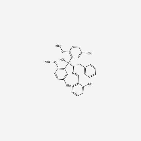 CCCCOc1ccc(C(C)(C)C)cc1C(O)(c1cc(C(C)(C)C)ccc1OCCCC)[C@H](Cc1ccccc1)N=Cc1ccccc1O